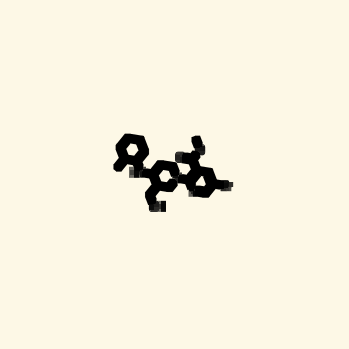 COC(=O)c1cc(Br)cnc1N1CCC(NC2CCCCC2C)C(CO)C1